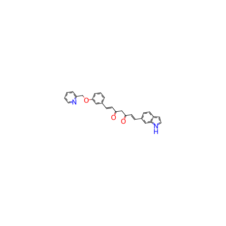 O=C(/C=C/c1cccc(OCc2ccccn2)c1)CC(=O)/C=C/c1ccc2cc[nH]c2c1